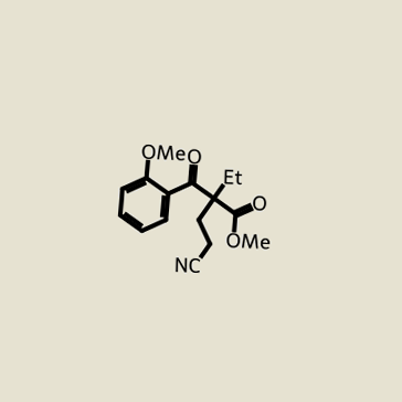 CCC(CCC#N)(C(=O)OC)C(=O)c1ccccc1OC